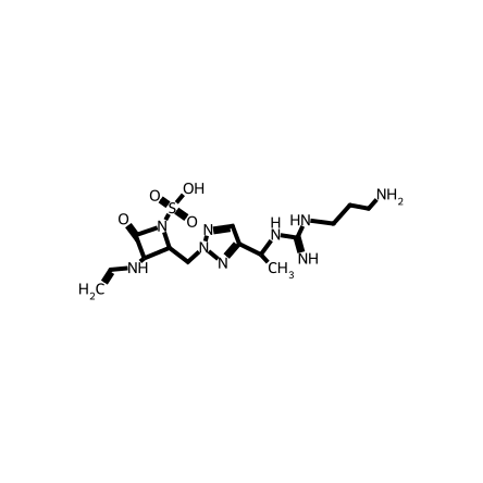 C=CNC1C(=O)N(S(=O)(=O)O)C1Cn1ncc(C(C)NC(=N)NCCCN)n1